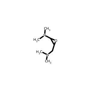 CN(C)CC1OC1N(C)C